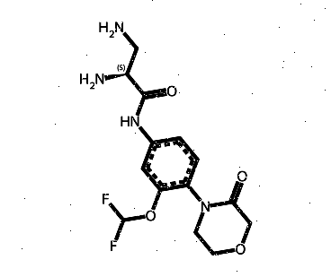 NC[C@H](N)C(=O)Nc1ccc(N2CCOCC2=O)c(OC(F)F)c1